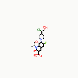 C[C@H]1COc2c(N3CCC(=C(Cl)CO)CC3)c(F)cc3cc(C(=O)O)c(=O)n1c23